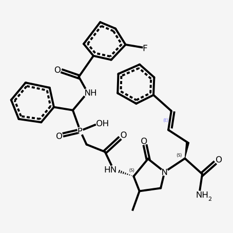 CC1CN([C@@H](C/C=C/c2ccccc2)C(N)=O)C(=O)[C@H]1NC(=O)CP(=O)(O)C(NC(=O)c1cccc(F)c1)c1ccccc1